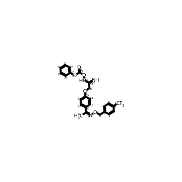 CC(=NOCc1ccc(C(F)(F)F)cc1)c1ccc(OCC(=N)NOC(=O)Oc2ccccc2)cc1